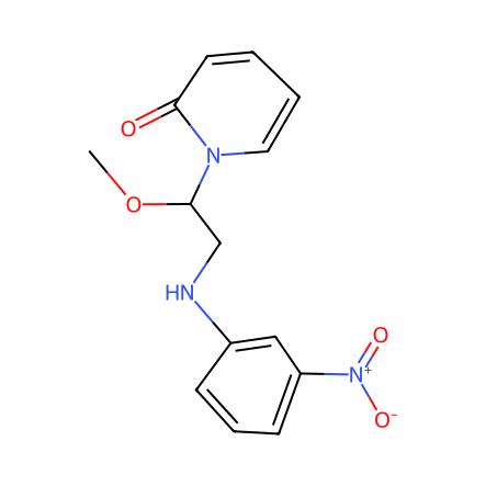 COC(CNc1cccc([N+](=O)[O-])c1)n1ccccc1=O